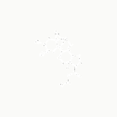 C=C(CSCC)C1CCC2/C(=C/C=O)C(C3(C)CC(O)C(O)CC3(C)N)CCC12C